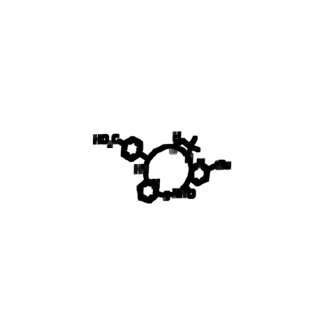 CC(C)(C)c1ccc2c(n1)N1C[C@@H](CCC(c3ccc(C(=O)O)cc3)Nc3cccc(n3)SNC2=O)CC1(C)C